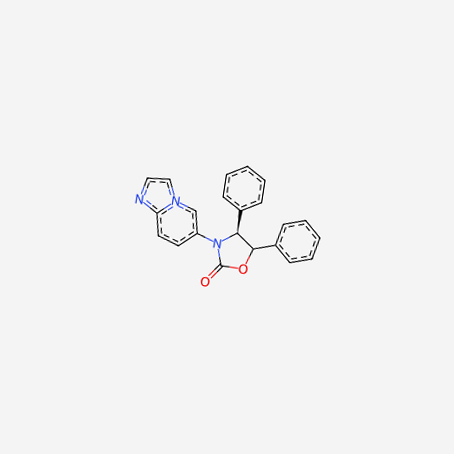 O=C1OC(c2ccccc2)[C@H](c2ccccc2)N1c1ccc2nccn2c1